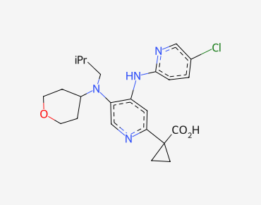 CC(C)CN(c1cnc(C2(C(=O)O)CC2)cc1Nc1ccc(Cl)cn1)C1CCOCC1